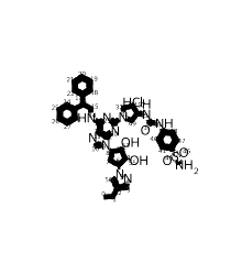 CCc1cnn([C@H]2C[C@@H](n3cnc4c(NCC(c5ccccc5)c5ccccc5)nc(N5CCC(NC(=O)Nc6ccc(S(N)(=O)=O)cc6)C5)nc43)C(O)[C@@H]2O)c1.Cl